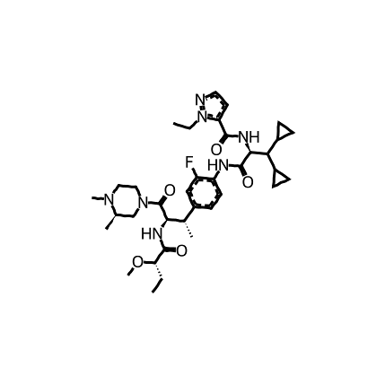 CC[C@H](OC)C(=O)N[C@@H](C(=O)N1CCN(C)[C@H](C)C1)[C@@H](C)c1ccc(NC(=O)[C@@H](NC(=O)c2ccnn2CC)C(C2CC2)C2CC2)c(F)c1